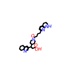 O=C(O)CC(c1cnc2c(c1)CCCC2)C1CCN(C(=O)CCCc2ccc3c(n2)NCCC3)CC1